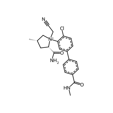 CNC(=O)c1ccc(-c2ccc(Cl)c([N+]3(CC#N)C[C@@H](C)C[C@H]3C(N)=O)c2)cc1